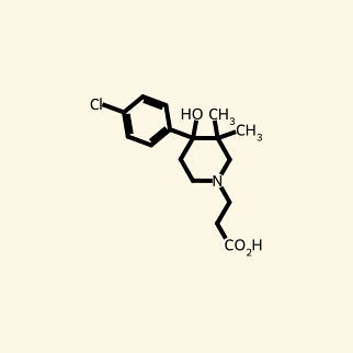 CC1(C)CN(CCC(=O)O)CCC1(O)c1ccc(Cl)cc1